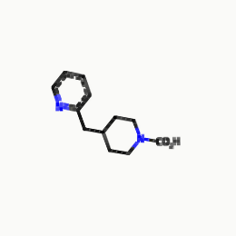 O=C(O)N1CCC(Cc2ccccn2)CC1